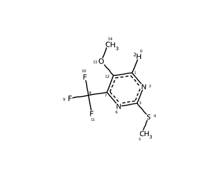 [2H]c1nc(SC)nc(C(F)(F)F)c1OC